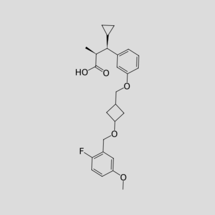 COc1ccc(F)c(COC2CC(COc3cccc([C@H](C4CC4)[C@H](C)C(=O)O)c3)C2)c1